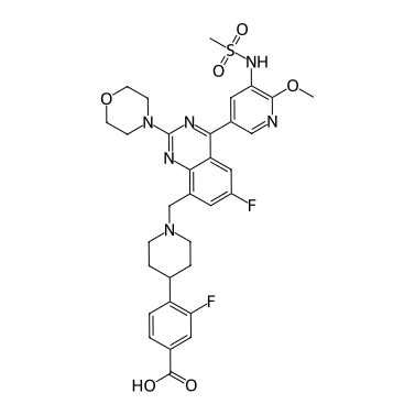 COc1ncc(-c2nc(N3CCOCC3)nc3c(CN4CCC(c5ccc(C(=O)O)cc5F)CC4)cc(F)cc23)cc1NS(C)(=O)=O